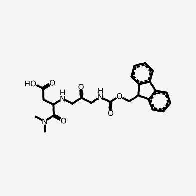 CN(C)C(=O)C(CC(=O)O)NCC(=O)CNC(=O)OCC1c2ccccc2-c2ccccc21